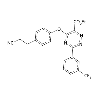 CCOC(=O)c1nnc(-c2cccc(C(F)(F)F)c2)nc1Oc1ccc(CCC#N)cc1